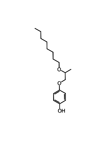 CCCCCCCCOC(C)COc1ccc(O)cc1